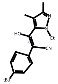 CCn1nc(C)c(C)c1/C(O)=C(\C#N)c1ccc(C(C)(C)C)cc1